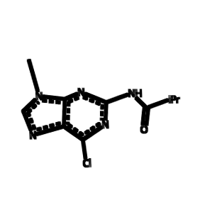 CC(C)C(=O)Nc1nc(Cl)c2ncn(C)c2n1